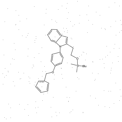 CC(C)(C)[Si](C)(C)OCCc1cc2ccccc2n1-c1ccc(OCc2ccccc2)cc1